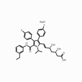 CCc1cccc(NC(=O)c2c(-c3ccc(F)cc3)c(-c3ccc(F)cc3)c(C=C[C@@H](O)C[C@@H](O)CC(=O)O)n2C(C)C)c1.[NaH]